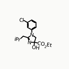 CCOC(=O)C1(O)CN(c2cccc(Cl)c2)C(CC(C)C)=N1